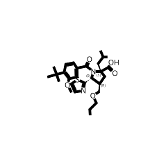 CCCOC[C@@H]1C[C@@](CC(C)C)(C(=O)O)N(C(=O)c2ccc(C(C)(C)C)c(OC)c2)[C@H]1c1nccs1